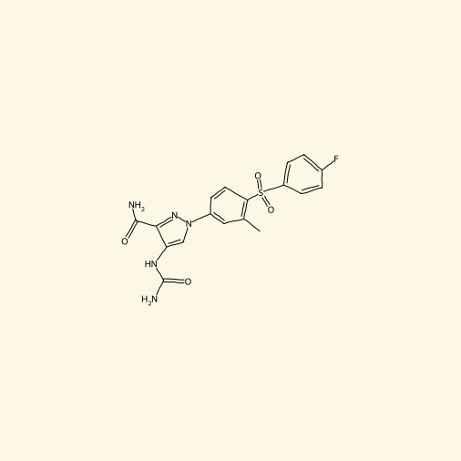 Cc1cc(-n2cc(NC(N)=O)c(C(N)=O)n2)ccc1S(=O)(=O)c1ccc(F)cc1